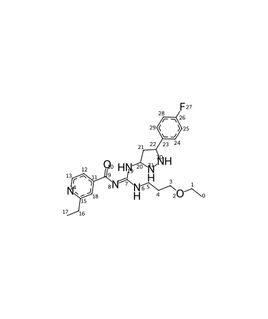 CCOCCCN/C(=N/C(=O)c1ccnc(CC)c1)NC1CC(c2ccc(F)cc2)NN1